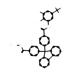 CNC(=O)c1ccc(C2(c3ccc(C(=O)Nc4cc(C(F)(F)F)cc(C)c4C)cc3)c3ccccc3-c3ccccc32)cc1